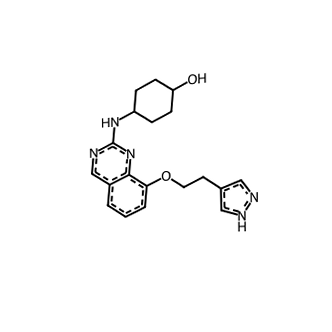 OC1CCC(Nc2ncc3cccc(OCCc4cn[nH]c4)c3n2)CC1